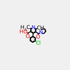 Cc1nc(C)c(C(=O)N2CCCC2)c(-c2cccc(Cl)c2)c1C(=O)O